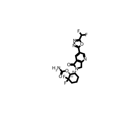 NC(=O)O[C@H]1[C@H](N2Cc3ncc(-c4nnc(C(F)F)o4)cc3C2=O)CCCC1(F)F